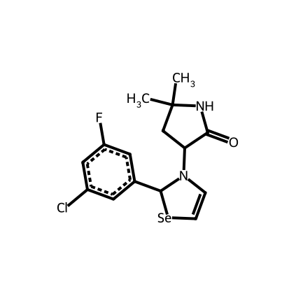 CC1(C)CC(N2C=C[Se]C2c2cc(F)cc(Cl)c2)C(=O)N1